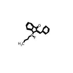 CCCCN(F)C1C(=Cc2ccccc2)C(=O)c2ccccc21